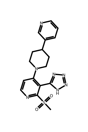 CS(=O)(=O)c1nccc(N2CCC(c3cccnc3)CC2)c1-c1nnn[nH]1